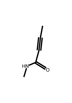 CC#CC(=O)NC